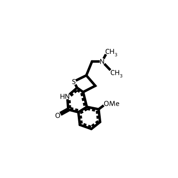 COc1cccc2c(=O)[nH]c3c(c12)CC(CN(C)C)S3